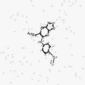 CC(=O)Nc1nc2nonc2nc1Nc1ccc(OC(F)(F)F)cc1